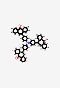 O=c1c2ccccc2cc(-c2ccc(N(c3ccc(-c4cc5ccccc5c(=O)c5ccccc45)cc3)c3ccc(-c4cc5ccccc5c(=O)c5ccccc45)cc3)cc2)c2ccccc12